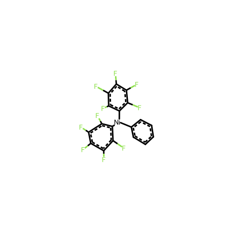 Fc1c(F)c(F)[c]([Ni]([c]2ccccc2)[c]2c(F)c(F)c(F)c(F)c2F)c(F)c1F